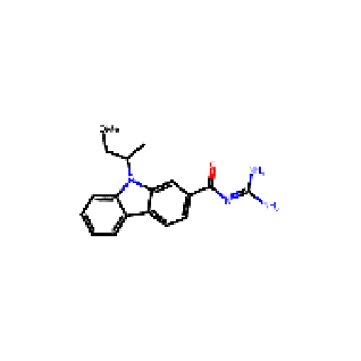 COCC(C)n1c2ccccc2c2ccc(C(=O)N=C(N)N)cc21